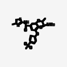 CNC(=O)C(C)Oc1cc(Oc2ccc(S(C)(=O)=O)cc2)cc(C(=O)Nc2nc(C)cs2)c1